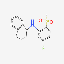 CS(=O)(=O)c1ccc(F)cc1NC1CCCc2ccccc21